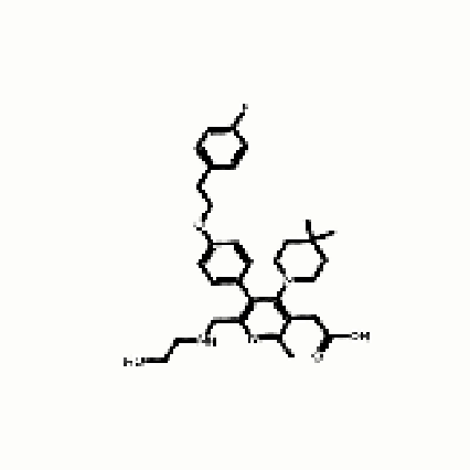 Cc1nc(CNCCO)c(-c2ccc(OCCc3ccc(F)cc3)cc2)c(N2CCC(C)(C)CC2)c1CC(=O)O